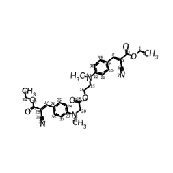 CCOC(=O)/C(C#N)=C/c1ccc(N(C)CCOC(=O)CN(C)c2ccc(/C=C(\C#N)C(=O)OCC)cc2)cc1